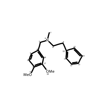 COc1ccc(CN(C)CCc2ccccc2)cc1OC